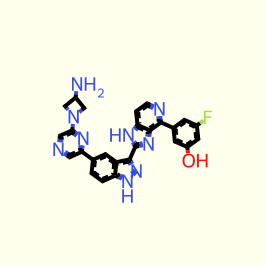 NC1CN(c2cncc(-c3ccc4[nH]nc(-c5nc6c(-c7cc(O)cc(F)c7)nccc6[nH]5)c4c3)n2)C1